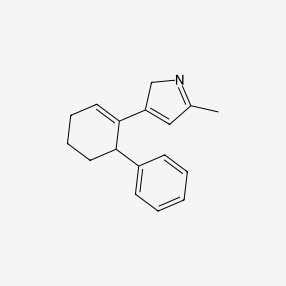 CC1=NCC(C2=CCCCC2c2ccccc2)=C1